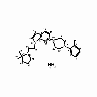 Cc1ccccc1N1CCN(c2ccc3ccn(CCN4CCCC4(C)C)c3n2)CC1.N